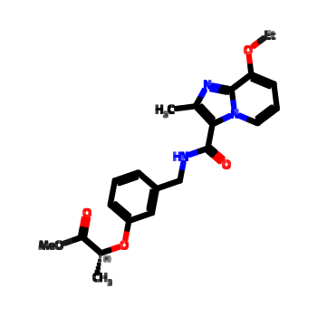 CCOc1cccn2c(C(=O)NCc3cccc(O[C@H](C)C(=O)OC)c3)c(C)nc12